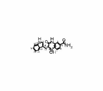 NC(=O)c1ccc2c(c1)NC(=O)[C@H](Cc1c[nH]c3ccccc13)N2O